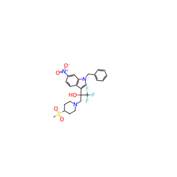 CS(=O)(=O)C1CCN(CC(O)(c2cn(Cc3ccccc3)c3cc([N+](=O)[O-])ccc23)C(F)(F)F)CC1